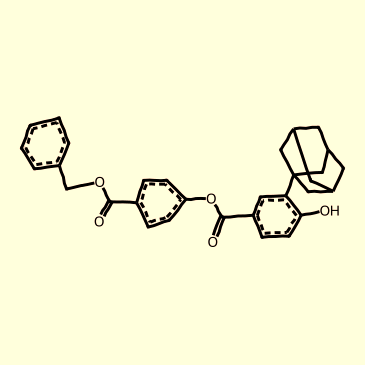 O=C(OCc1ccccc1)c1ccc(OC(=O)c2ccc(O)c(C34CC5CC(CC(C5)C3)C4)c2)cc1